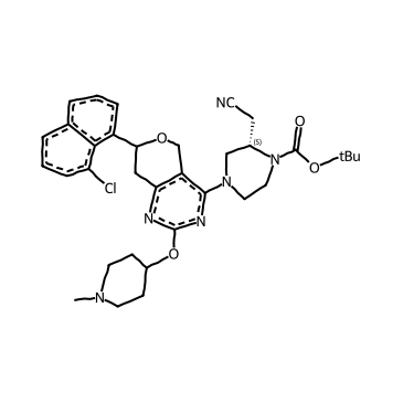 CN1CCC(Oc2nc3c(c(N4CCN(C(=O)OC(C)(C)C)[C@@H](CC#N)C4)n2)COC(c2cccc4cccc(Cl)c24)C3)CC1